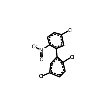 O=[N+]([O-])c1ccc(Cl)cc1-c1cc(Cl)ccc1Cl